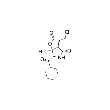 C[C@@]1(OC=O)[C@@H](C(=O)C2CCCCC2)NC(=O)[C@@H]1CCCl